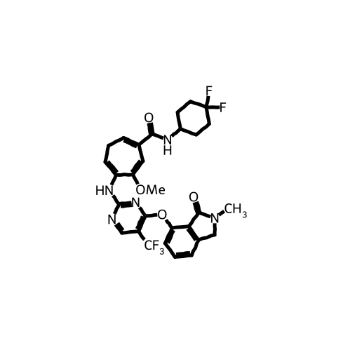 COC1=CC(C(=O)NC2CCC(F)(F)CC2)=CCC=C1Nc1ncc(C(F)(F)F)c(Oc2cccc3c2C(=O)N(C)C3)n1